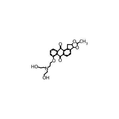 CC1OC2Cc3c(ccc4c3C(=O)c3cccc(OCCN(CCO)CCO)c3C4=O)C2O1